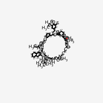 CCCC[C@H]1C(=O)N[C@@H](Cc2ccc3ccccc3c2)C(=O)N(C)[C@@H](COC(C)(C)C)C(=O)NCC(=O)N(C)CCCCC(=O)OCC(C)(C)C(=O)C(=O)N2CCCC[C@H]2C(=O)O[C@H](CCc2cc(F)c(OC)c(OC)c2)c2cccc(c2)OCC(=O)N1C